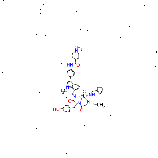 C=CCN1CC(=O)N2[C@@H](Cc3ccc(O)cc3)C(=O)N(Cc3cccc4c(-c5ccc(NC(=O)C6CCN(C)CC6)cc5)cn(C)c34)C[C@@H]2N1C(=O)NCc1ccccc1